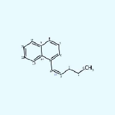 CCC/C=[C]\c1cccc2ccccc12